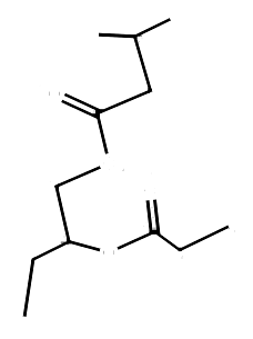 CC[C](COC(=O)CC(C)C)OC(=O)CC